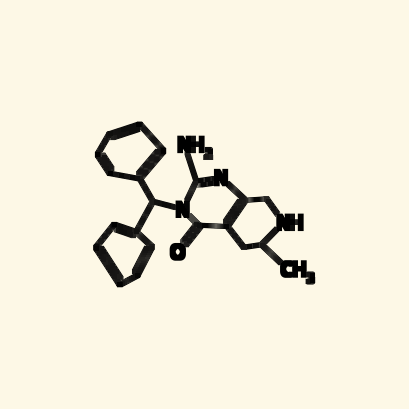 CC1Cc2c(nc(N)n(C(c3ccccc3)c3ccccc3)c2=O)CN1